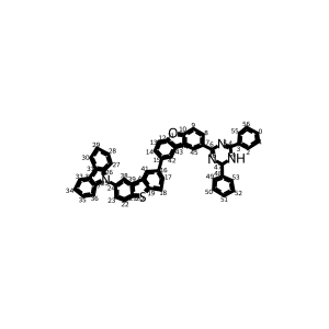 c1ccc(C2=NC(c3ccc4oc5ccc(-c6ccc7sc8ccc(-n9c%10ccccc%10c%10ccccc%109)cc8c7c6)cc5c4c3)=NC(c3ccccc3)N2)cc1